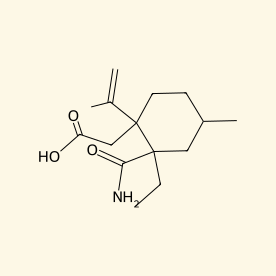 C=C(C)C1(CC(=O)O)CCC(C)CC1(CC)C(N)=O